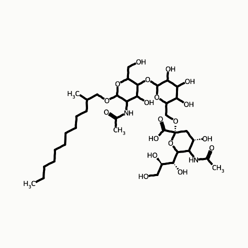 CCCCCCCCCCC(C)COC1OC(CO)C(OC2OC(CO[C@]3(C(=O)O)C[C@H](O)C(NC(C)=O)C([C@H](O)[C@H](O)CO)O3)C(O)C(O)C2O)C(O)C1NC(C)=O